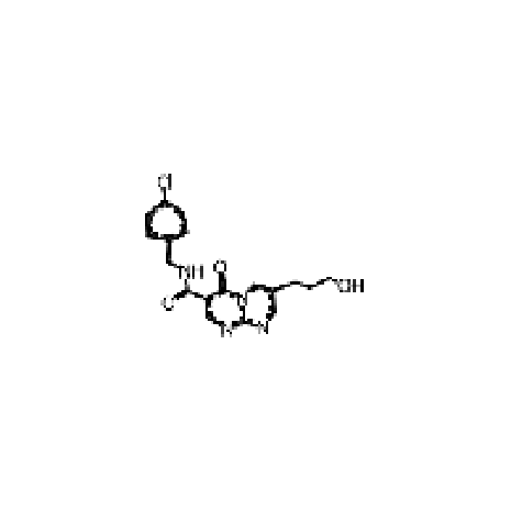 O=C(NCc1ccc(Cl)cc1)c1cnc2ncc(CCCO)cn2c1=O